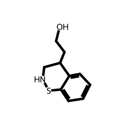 OCCC1CNSc2ccccc21